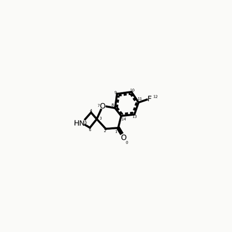 O=C1CC2(CNC2)Oc2ccc(F)cc21